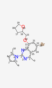 Cc1nc(-n2c(C)ccc2C)nc2c(OCC3CCCO3)cc(Br)cc12